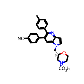 Cc1ccc(-c2nc3ccn(C[C@H]4CN(C(=O)O)CCO4)c3cc2-c2ccc(C#N)cc2)cc1